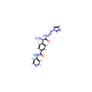 NC(C(=O)NCCn1ccnc1)c1ccc(C(=O)Nc2ccncc2)cc1